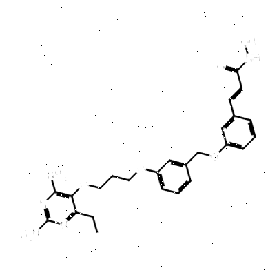 CCc1nc(N)nc(N)c1OCCCOc1cccc(COc2cccc(C=CC(=O)NO)c2)c1